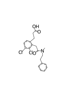 CN(CCc1ccccc1)C(=O)Cc1c(CCC(=O)O)ccc(Cl)c1Cl